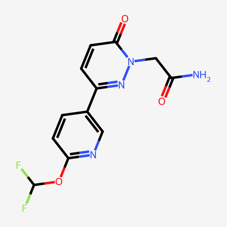 NC(=O)Cn1nc(-c2ccc(OC(F)F)nc2)ccc1=O